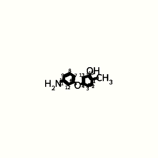 Cc1ccc(Oc2cccc(N)c2)cc1O